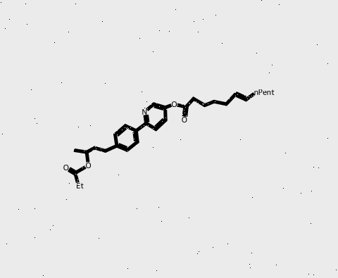 CCCCCC=CCCCCC(=O)Oc1ccc(-c2ccc(CCC(C)OC(=O)CC)cc2)nc1